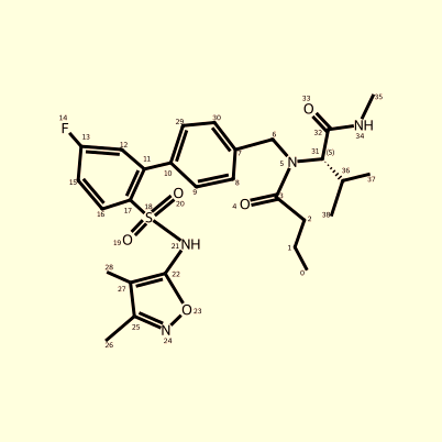 CCCC(=O)N(Cc1ccc(-c2cc(F)ccc2S(=O)(=O)Nc2onc(C)c2C)cc1)[C@H](C(=O)NC)C(C)C